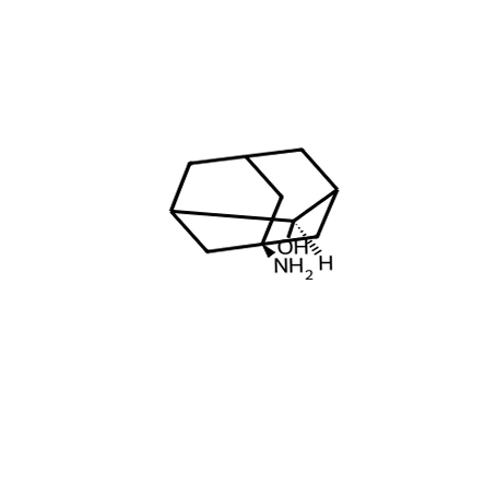 N[C@]12CC3CC(C1)[C@H](O)C(C3)C2